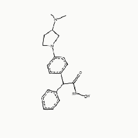 CN(C)C1CCN(c2ccc(C(C(=O)NO)c3ccccc3)cc2)C1